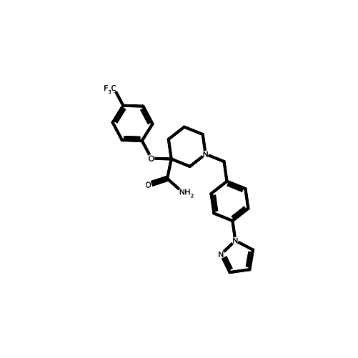 NC(=O)C1(Oc2ccc(C(F)(F)F)cc2)CCCN(Cc2ccc(-n3cccn3)cc2)C1